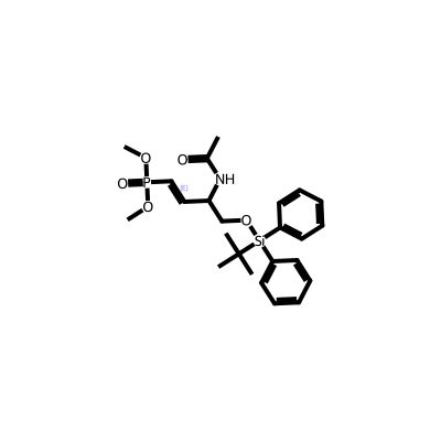 COP(=O)(/C=C/C(CO[Si](c1ccccc1)(c1ccccc1)C(C)(C)C)NC(C)=O)OC